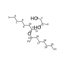 CC(O)CO.CCCCCCC(C)OC(C)CCCCCC